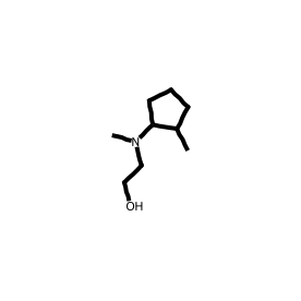 CC1CCCC1N(C)CCO